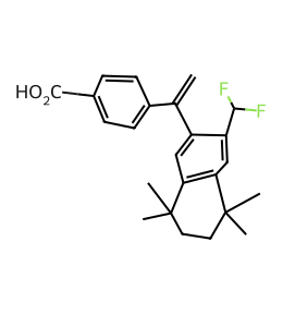 C=C(c1ccc(C(=O)O)cc1)c1cc2c(cc1C(F)F)C(C)(C)CCC2(C)C